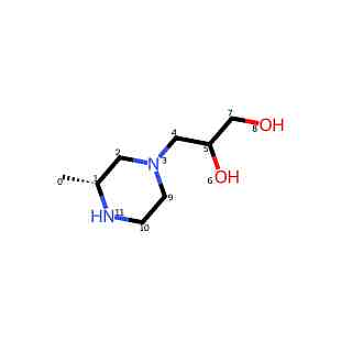 C[C@@H]1CN(CC(O)CO)CCN1